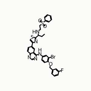 CCC(NCCS(=O)(=O)c1ccccc1)c1nc(-c2ccc3ncnc(Nc4ccc(OCc5cccc(F)c5)c(Br)c4)c3c2)cs1